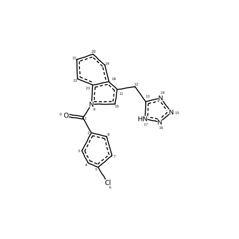 O=C(c1ccc(Cl)cc1)n1cc(Cc2nnn[nH]2)c2ccccc21